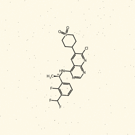 C[C@@H](Nc1ncnc2nc(Cl)c(C3CCS(=O)(=O)CC3)cc12)c1cccc(C(F)F)c1F